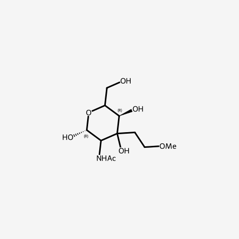 COCCC1(O)C(NC(C)=O)[C@H](O)OC(CO)[C@H]1O